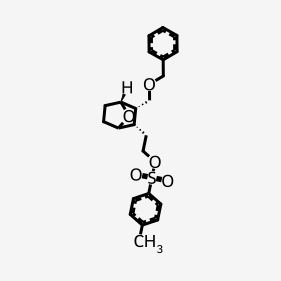 Cc1ccc(S(=O)(=O)OCC[C@@H]2C3CC[C@@H](O3)[C@@H]2COCc2ccccc2)cc1